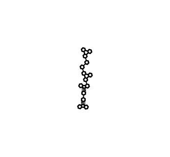 c1cc(-c2cccc(-c3ccc4c5ccc(-c6cccc7c6c6ccccc6n7-c6ccc(-c7ccc(-n8c9ccccc9c9ccccc98)cc7)cc6)cc5c5ccccc5c4c3)c2)cc(-c2ccc3c4ccccc4c4ccccc4c3c2)c1